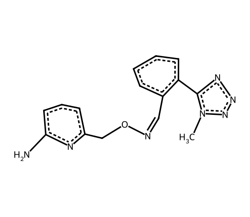 Cn1nnnc1-c1ccccc1/C=N\OCc1cccc(N)n1